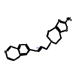 Nc1nc2c(s1)CCN(C/C=C/c1ccc3cnccc3c1)CC2